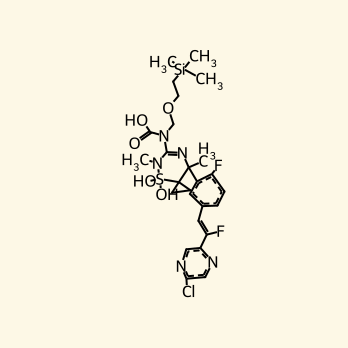 CN1C(N(COCC[Si](C)(C)C)C(=O)O)=NC(C)(c2cc(/C=C(\F)c3cnc(Cl)cn3)ccc2F)C2(CC2)S1(O)O